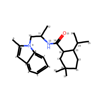 Cc1cc2ccccc2n1CC(C)NC(=O)C1CC(C)(C)CCC1C(C)C